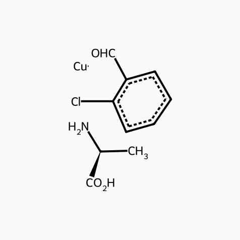 C[C@H](N)C(=O)O.O=Cc1ccccc1Cl.[Cu]